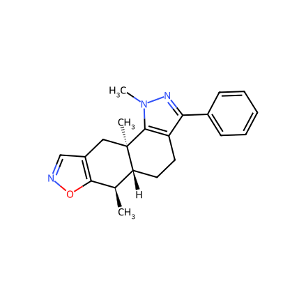 C[C@H]1c2oncc2C[C@@]2(C)c3c(c(-c4ccccc4)nn3C)CC[C@H]12